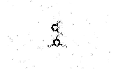 Cc1cc(C)nc(C)c1.Cc1cccc(C)n1